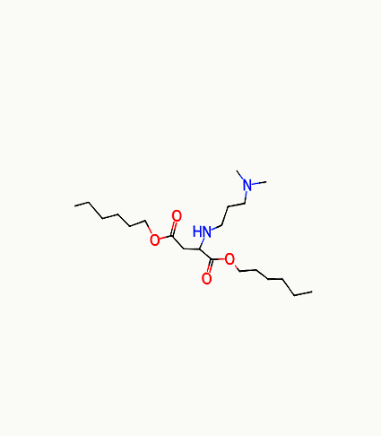 CCCCCCOC(=O)CC(NCCCN(C)C)C(=O)OCCCCCC